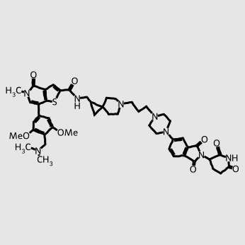 COc1cc(-c2cn(C)c(=O)c3cc(C(=O)NCC4CC45CCN(CCCN4CCN(c6ccc7c(c6)C(=O)N(C6CCC(=O)NC6=O)C7=O)CC4)CC5)sc23)cc(OC)c1CN(C)C